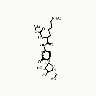 CC(=O)NCCCCC(NC(=O)OC(C)(C)C)C(=O)Nc1ccn([C@@H]2O[C@H](CO)C(O)[C@H]2O)c(=O)n1